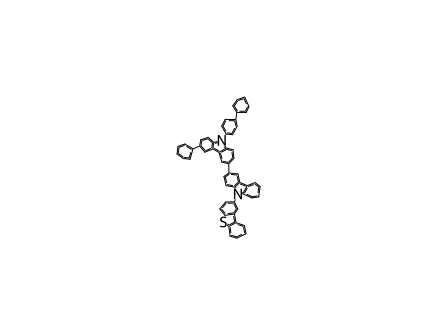 c1ccc(-c2ccc(-n3c4ccc(-c5ccccc5)cc4c4cc(-c5ccc6c(c5)c5ccccc5n6-c5ccc6sc7ccccc7c6c5)ccc43)cc2)cc1